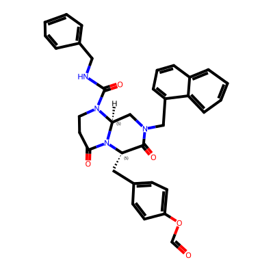 O=COc1ccc(C[C@H]2C(=O)N(Cc3cccc4ccccc34)C[C@@H]3N(C(=O)NCc4ccccc4)CCC(=O)N32)cc1